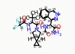 CC(C)(C)C(NC(=O)C(F)(F)F)C(=O)N1C[C@H]2[C@@H]([C@H]1C(=O)NC(C(N)=O)c1nncc3ccccc13)C21CC1